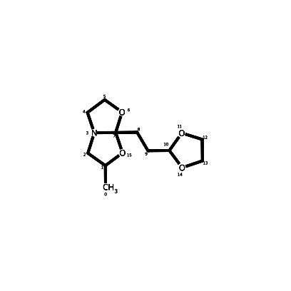 CC1CN2CCOC2(CCC2OCCO2)O1